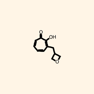 O=c1ccccc(CC2COC2)c1O